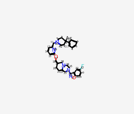 CC(=O)C1(c2ccccc2)CCN(Cc2cccc(OCC3CCC4CN(c5noc6ccc(F)cc56)CCN4C3)n2)CC1